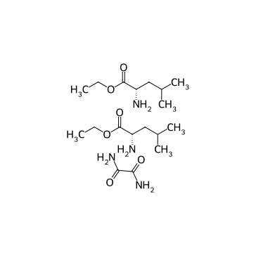 CCOC(=O)[C@@H](N)CC(C)C.CCOC(=O)[C@@H](N)CC(C)C.NC(=O)C(N)=O